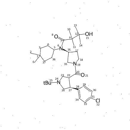 CC1(C)CCC(N(C(=O)C(C)(C)C(C)(C)O)[C@H]2CCN(C(=O)C3CN(C(C)(C)C)C[C@@H]3c3ccc(Cl)cc3)C2)CC1